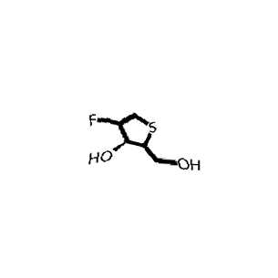 OCC1SCC(F)[C@@H]1O